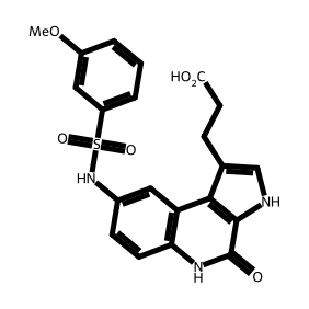 COc1cccc(S(=O)(=O)Nc2ccc3[nH]c(=O)c4[nH]cc(CCC(=O)O)c4c3c2)c1